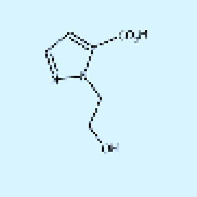 O=C(O)c1ccnn1CCO